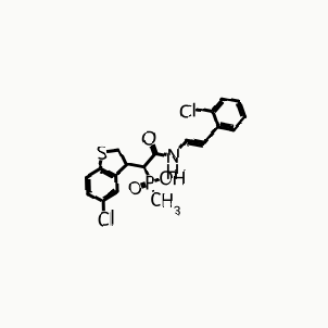 CP(=O)(O)C(C(=O)N/C=C/c1ccccc1Cl)C1CSc2ccc(Cl)cc21